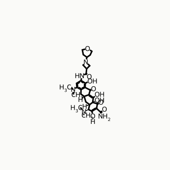 CN(C)c1cc(NC(=O)C2CN(C3CCOCC3)C2)c(O)c2c1C[C@H]1C[C@H]3[C@H](N(C)C)C(O)=C(C(N)=O)C(=O)[C@@]3(O)C(O)=C1C2=O